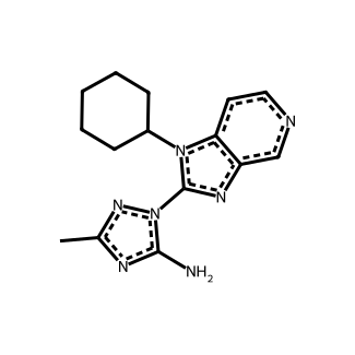 Cc1nc(N)n(-c2nc3cnccc3n2C2CCCCC2)n1